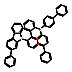 c1ccc(-c2ccc(N(c3ccc(-c4ccccc4)cc3)c3ccccc3-c3ccccc3-n3c4ccccc4c4ccc(-c5ccccc5)cc43)cc2)cc1